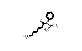 CCC=CC=CC(=O)N(c1ccccc1)N(C)C